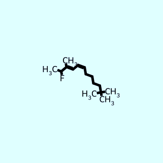 C/C(=C\C=C/CCCCC(C)(C)C)C(C)F